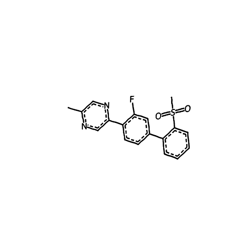 Cc1cnc(-c2ccc(-c3ccccc3S(C)(=O)=O)cc2F)cn1